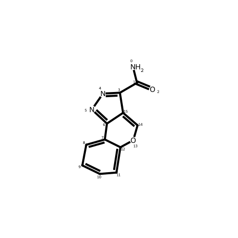 NC(=O)c1nnc2c3ccccc3occ1-2